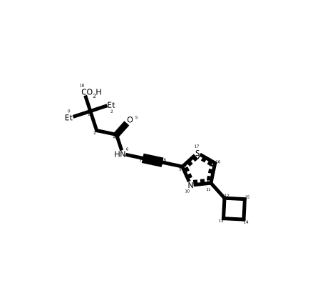 CCC(CC)(CC(=O)NC#Cc1nc(C2CCC2)cs1)C(=O)O